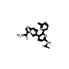 CC(=O)Nc1ccc(-c2ccc3ncc(C(N)=O)n3c2)c(-c2cccc(C)n2)n1